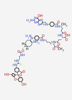 COC(=O)[C@H](CCCCNC(=O)c1ccc(N(N)/C2=C(\N)CC[C@H]3[C@@H](CC2)[C@H]3COC(=O)NCCNC(=S)Nc2ccc3c(c2)C(=O)OC32c3ccc(O)cc3Oc3cc(O)ccc32)cc1)NC(=O)CC[C@H](NC(=O)CC[C@@H](C)NC(=O)c1ccc(NCc2cnc3nc(N)nc(O)c3n2)cc1)C(=O)O